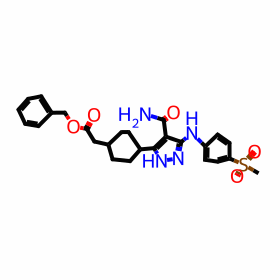 CS(=O)(=O)c1ccc(Nc2n[nH]c(C3CCC(CC(=O)OCc4ccccc4)CC3)c2C(N)=O)cc1